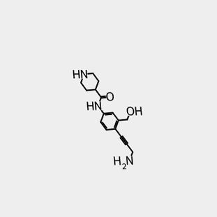 NCC#Cc1ccc(NC(=O)C2CCNCC2)cc1CO